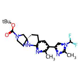 Cc1nc2c(cc1-c1cn(C(F)F)c(C)n1)CC[C@@]1(CCN(C(=O)OC(C)(C)C)C1)N2